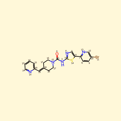 O=C(Nc1ncc(-c2ccc(Br)cn2)s1)N1CCC(=Cc2ccccn2)CC1